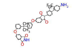 CC(C)(c1cccc(Oc2ccc3c(c2)C(=O)NC3=O)c1)c1cccc(Oc2ccc3c(c2)C(=O)C(c2ccc(-c4ccc(N)cc4C(F)(F)F)c(C(F)(F)F)c2)C3=O)c1